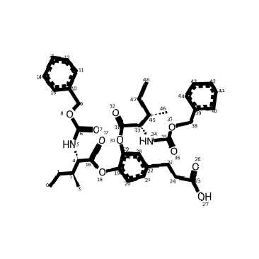 CC[C@H](C)[C@H](NC(=O)OCc1ccccc1)C(=O)Oc1ccc(CCC(=O)O)cc1OC(=O)[C@@H](NC(=O)OCc1ccccc1)[C@@H](C)CC